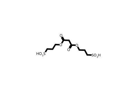 O=C(CC(=O)OCCCS(=O)(=O)O)OCCCS(=O)(=O)O